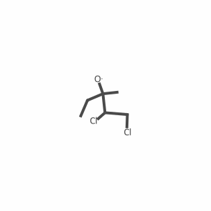 CCC(C)([O])C(Cl)CCl